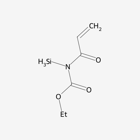 C=CC(=O)N([SiH3])C(=O)OCC